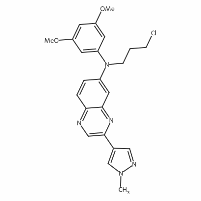 COc1cc(OC)cc(N(CCCCl)c2ccc3ncc(-c4cnn(C)c4)nc3c2)c1